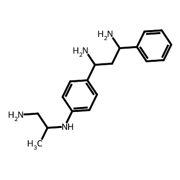 CC(CN)Nc1ccc(C(N)CC(N)c2ccccc2)cc1